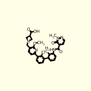 COc1nc(-c2cccc(-c3cccc(NC(=O)c4ccnn(C)c4=O)c3C)c2Cl)ccc1CN1CC(C(=O)O)C1